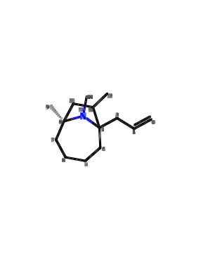 C=CCC12CCCC[C@@](C)(CC1C)N2C